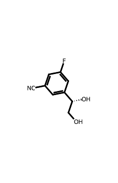 N#Cc1cc(F)cc([C@H](O)CO)c1